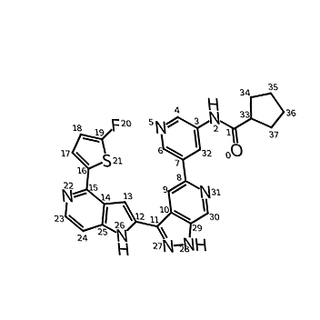 O=C(Nc1cncc(-c2cc3c(-c4cc5c(-c6ccc(F)s6)nccc5[nH]4)n[nH]c3cn2)c1)C1CCCC1